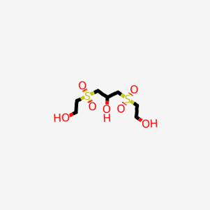 O=S(=O)(CCO)CC(O)CS(=O)(=O)CCO